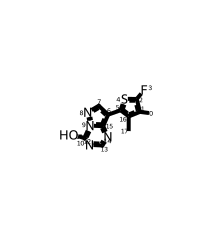 Cc1c(F)sc(-c2cnn3c(O)ncnc23)c1C